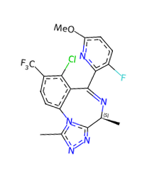 COc1ccc(F)c(C2=N[C@@H](C)c3nnc(C)n3-c3ccc(C(F)(F)F)c(Cl)c32)n1